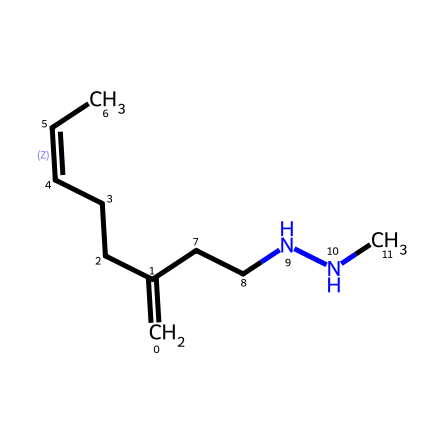 C=C(CC/C=C\C)CCNNC